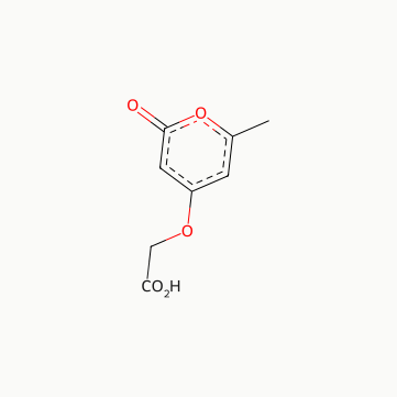 Cc1cc(OCC(=O)O)cc(=O)o1